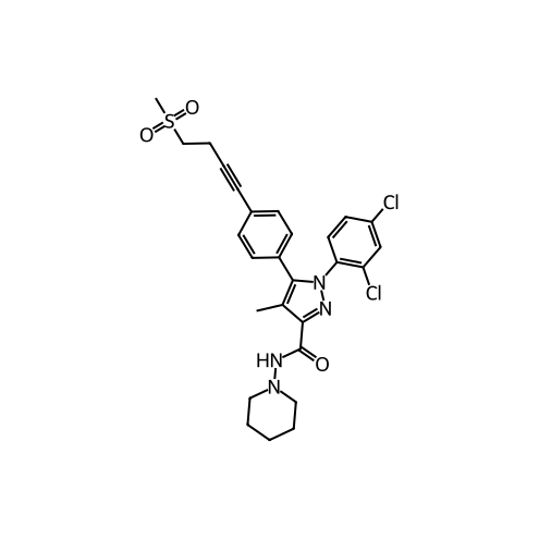 Cc1c(C(=O)NN2CCCCC2)nn(-c2ccc(Cl)cc2Cl)c1-c1ccc(C#CCCS(C)(=O)=O)cc1